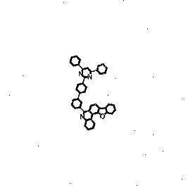 c1ccc(-c2cc(-c3ccccc3)nc(-c3ccc(-c4cccc(-c5nc6ccccc6c6c5ccc5c7ccccc7oc56)c4)cc3)n2)cc1